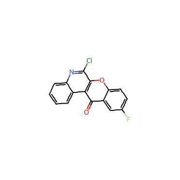 O=c1c2cc(F)ccc2oc2c(Cl)nc3ccccc3c12